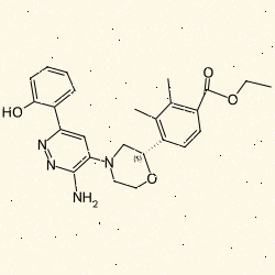 CCOC(=O)c1ccc([C@H]2CN(c3cc(-c4ccccc4O)nnc3N)CCO2)c(C)c1C